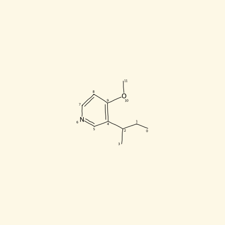 CCC(C)c1cnccc1OC